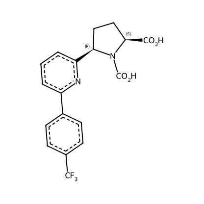 O=C(O)[C@@H]1CC[C@H](c2cccc(-c3ccc(C(F)(F)F)cc3)n2)N1C(=O)O